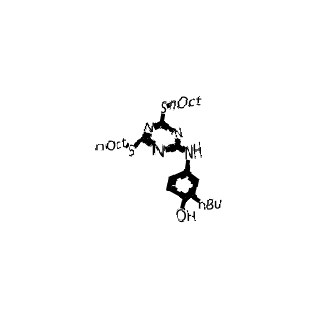 CCCCCCCCSc1nc(Nc2ccc(O)c(CCCC)c2)nc(SCCCCCCCC)n1